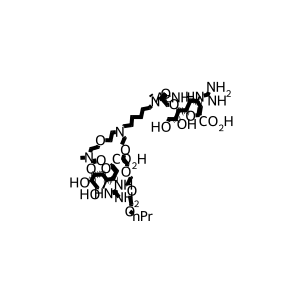 CCCOCCOCCOCCOCCN(CCCCCCN(C)C(=O)CO[C@@H]([C@@H]1OC(C(=O)O)=C[C@H](NC(=N)N)[C@H]1NC(C)=O)[C@H](O)CO)CCOCCN(C)C(=O)O[C@@H]([C@@H]1OC(C(=O)O)=C[C@H](NC(=N)N)[C@H]1C)[C@H](O)CO